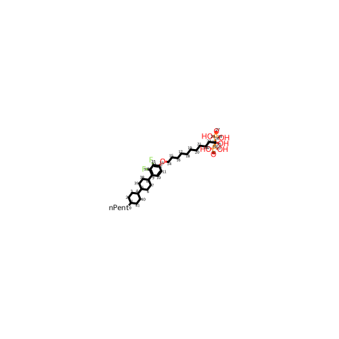 CCCCCC1CCC(C2CCC(c3ccc(OCCCCCCCCCCC(O)(P(=O)(O)O)P(=O)(O)O)c(F)c3F)CC2)CC1